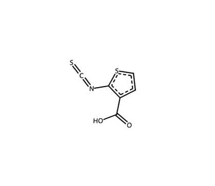 O=C(O)c1ccsc1N=C=S